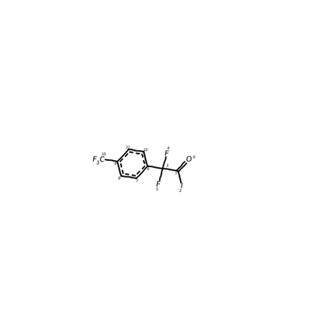 O=C(I)C(F)(F)c1ccc(C(F)(F)F)cc1